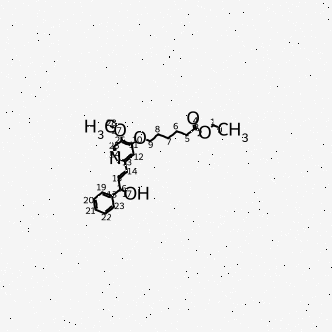 CCOC(=O)CCCCCOc1cc(/C=C/C(O)c2ccccc2)ncc1OC